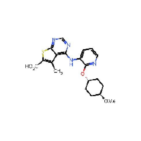 CO[C@H]1CC[C@H](Oc2ncccc2Nc2ncnc3sc(C(=O)O)c(C)c23)CC1